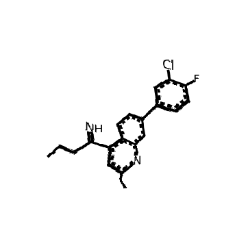 CCCC(=N)c1cc(C)nc2cc(-c3ccc(F)c(Cl)c3)ccc12